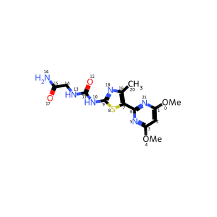 COc1cc(OC)nc(-c2sc(NC(=O)NCC(N)=O)nc2C)n1